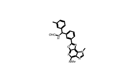 CNc1nc2oc(-c3cccc(C(NC=O)c4cccc(C)c4)c3)nc2c2c1ncn2C